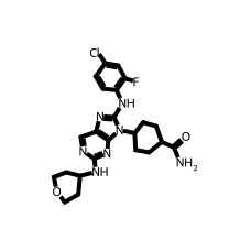 NC(=O)C1CCC(n2c(Nc3ccc(Cl)cc3F)nc3cnc(NC4CCOCC4)nc32)CC1